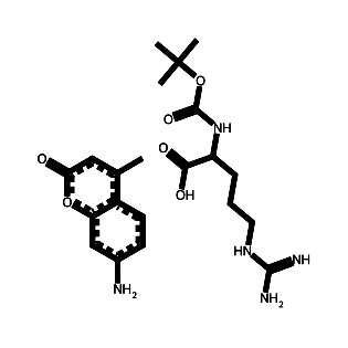 CC(C)(C)OC(=O)NC(CCCNC(=N)N)C(=O)O.Cc1cc(=O)oc2cc(N)ccc12